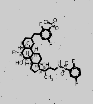 CC[C@H]1[C@@H](O)[C@@H]2[C@H](CC[C@]3(C)[C@@H]([C@H](C)CCNS(=O)(=O)c4cc(F)ccc4F)CC[C@@H]23)[C@@]2(C)CC(Cc3cc(F)cc(S(=O)(=O)Cl)c3F)CC[C@@H]12